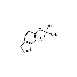 CC(C)(C)[Si](C)(C)Oc1ccc2c(c1)C=C[CH]2